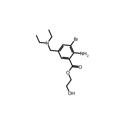 CCN(CC)Cc1cc(Br)c(N)c(C(=O)OCCO)c1